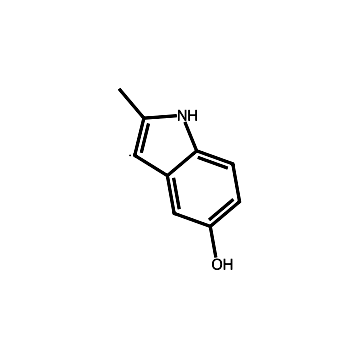 Cc1[c]c2cc(O)ccc2[nH]1